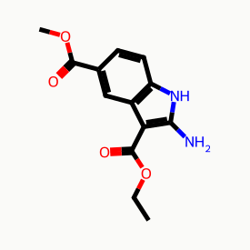 CCOC(=O)c1c(N)[nH]c2ccc(C(=O)OC)cc12